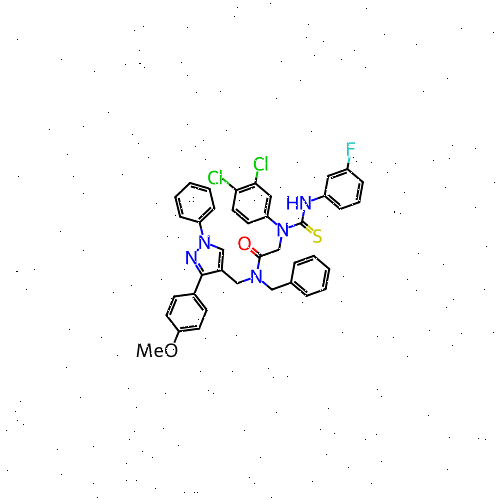 COc1ccc(-c2nn(-c3ccccc3)cc2CN(Cc2ccccc2)C(=O)CN(C(=S)Nc2cccc(F)c2)c2ccc(Cl)c(Cl)c2)cc1